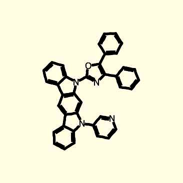 c1ccc(-c2nc(-n3c4ccccc4c4cc5c6ccccc6n(-c6cccnc6)c5cc43)oc2-c2ccccc2)cc1